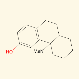 CNC12CCCCC1CCc1ccc(O)cc12